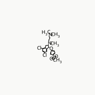 CN(C)CCCN(C)[C@H]1Cc2c(Cl)cc(Cl)cc2[C@@H]1Oc1ccc(S(C)(=O)=O)cc1